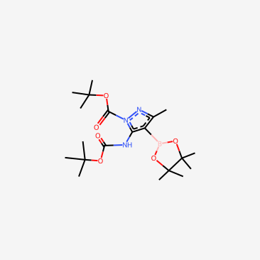 Cc1nn(C(=O)OC(C)(C)C)c(NC(=O)OC(C)(C)C)c1B1OC(C)(C)C(C)(C)O1